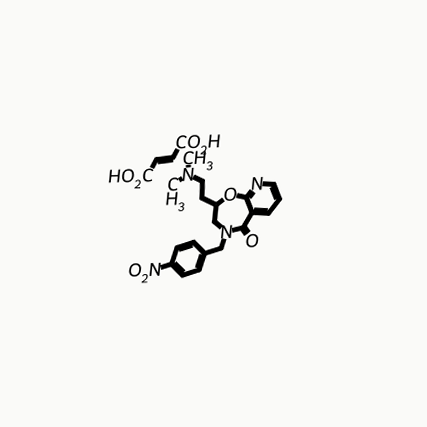 CN(C)CCC1CN(Cc2ccc([N+](=O)[O-])cc2)C(=O)c2cccnc2O1.O=C(O)/C=C/C(=O)O